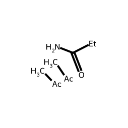 CC(C)=O.CC(C)=O.CCC(N)=O